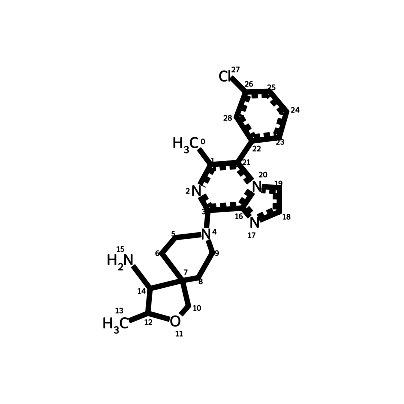 Cc1nc(N2CCC3(CC2)COC(C)C3N)c2nccn2c1-c1cccc(Cl)c1